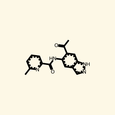 CC(=O)c1cc2[nH]ncc2cc1NC(=O)c1cccc(C)n1